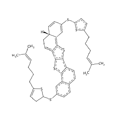 CC(C)=CCCCC1=CCC(Sc2ccc3ccc4c5sc6c(c5sc4c3c2)=CC[C@@H]2C=CC(Sc3ccc(CCCC=C(C)C)s3)=CC=62)S1